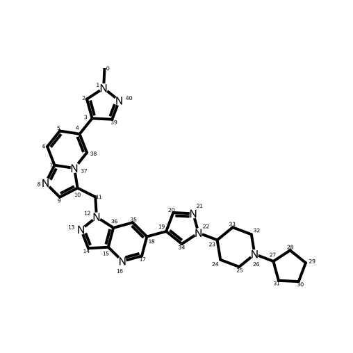 Cn1cc(-c2ccc3ncc(Cn4ncc5ncc(-c6cnn(C7CCN(C8CCCC8)CC7)c6)cc54)n3c2)cn1